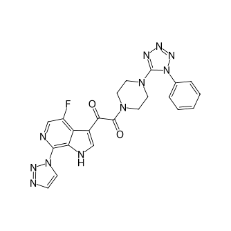 O=C(C(=O)N1CCN(c2nnnn2-c2ccccc2)CC1)c1c[nH]c2c(-n3ccnn3)ncc(F)c12